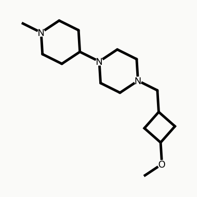 COC1CC(CN2CCN(C3CCN(C)CC3)CC2)C1